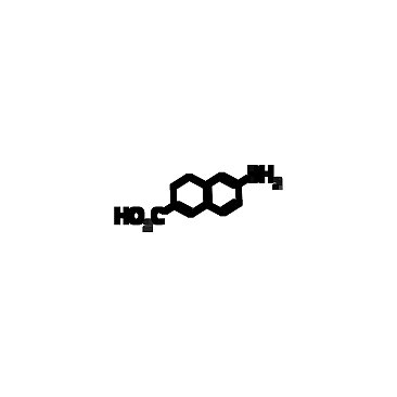 Bc1ccc2c(c1)CCC(C(=O)O)=C2